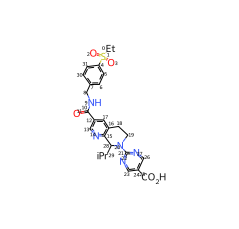 CCS(=O)(=O)c1ccc(CNC(=O)c2cnc3c(c2)CCN(c2ncc(C(=O)O)cn2)C3C(C)C)cc1